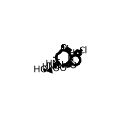 CO[C@H]1/C=C/C[C@H](C)CS(=O)(NC(=O)N[C@H]2C[C@@H]2CO)=NC(=O)c2ccc3c(c2)N(Cc2ccc(Cl)cc2CCCCO3)C[C@@H]2CC[C@H]21